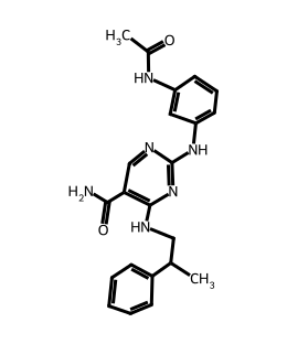 CC(=O)Nc1cccc(Nc2ncc(C(N)=O)c(NCC(C)c3ccccc3)n2)c1